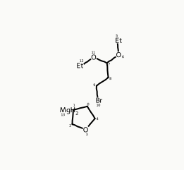 C1CCOC1.CCOC(CCBr)OCC.[MgH2]